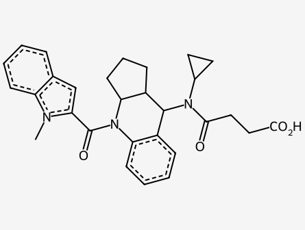 Cn1c(C(=O)N2c3ccccc3C(N(C(=O)CCC(=O)O)C3CC3)C3CCCC32)cc2ccccc21